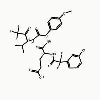 COc1ccc([C@H](NC(=O)[C@H](CCC(=O)O)NC(=O)C(F)(F)c2cccc(Cl)c2)C(=O)N[C@H](C(=O)C(F)(F)F)C(C)C)cc1